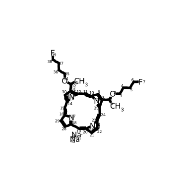 CC(OCCCCF)C1=Cc2cc3[nH]c(cc4nc(cc5ccc(cc1n2)[nH]5)C=C4)cc3C(C)OCCCCF.[Na].[Na]